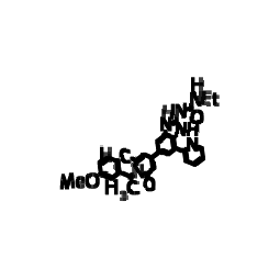 CCNC(=O)Nc1nc2cc(-c3cc(C)n(C(C)c4cccc(OC)c4)c(=O)c3)cc(-c3ccccn3)c2[nH]1